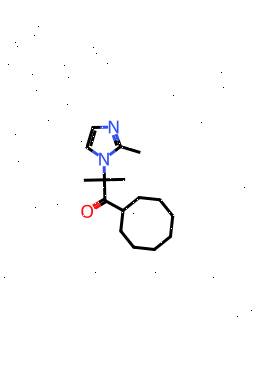 Cc1nccn1C(C)(C)C(=O)C1CCCCCCC1